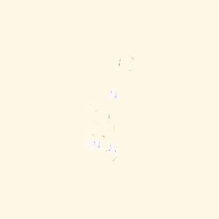 O=S(=O)(Nc1nccs1)c1cc2c(cc1F)C(N1CCC[C@@H](c3ccccc3)C1)CCO2